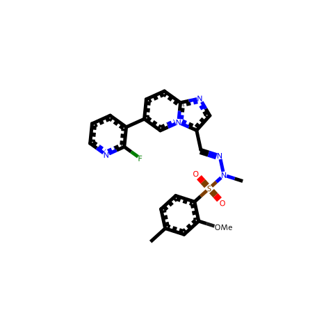 COc1cc(C)ccc1S(=O)(=O)N(C)N=Cc1cnc2ccc(-c3cccnc3F)cn12